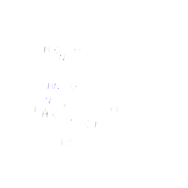 C\C=C/C=C(\C=C(/C)CCC)C(/C)=C/C(=N\C)NC(=O)C1CC(=O)N(C)C1